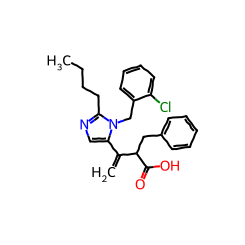 C=C(c1cnc(CCCC)n1Cc1ccccc1Cl)C(Cc1ccccc1)C(=O)O